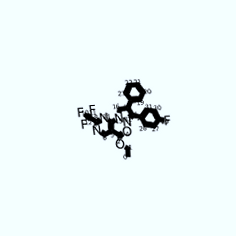 CCOC(=O)c1cnc(C(F)(F)F)nc1N1CC(c2ccccc2)C(c2ccc(F)cc2)=N1